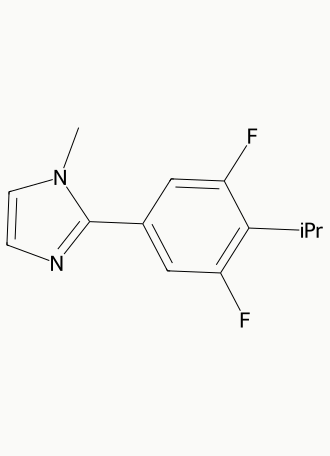 CC(C)c1c(F)cc(-c2nccn2C)cc1F